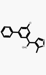 Cc1oncc1C([C]=O)c1cc(Cl)cc(-c2ccccc2)c1